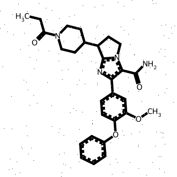 CCC(=O)N1CCC(C2CCn3c2nc(-c2ccc(Oc4ccccc4)c(OC)c2)c3C(N)=O)CC1